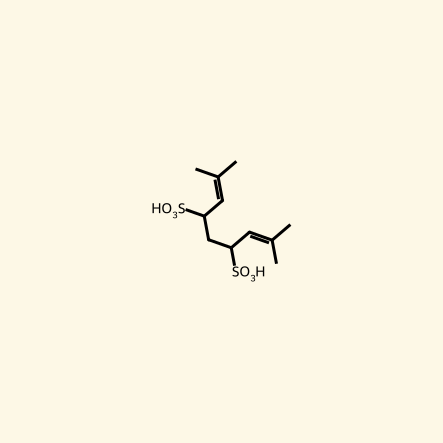 CC(C)=CC(CC(C=C(C)C)S(=O)(=O)O)S(=O)(=O)O